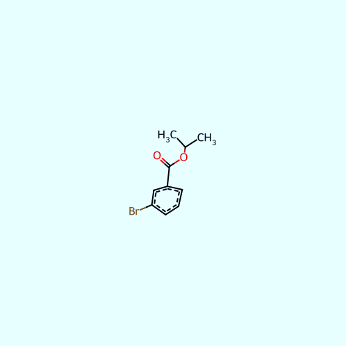 CC(C)OC(=O)c1cccc(Br)c1